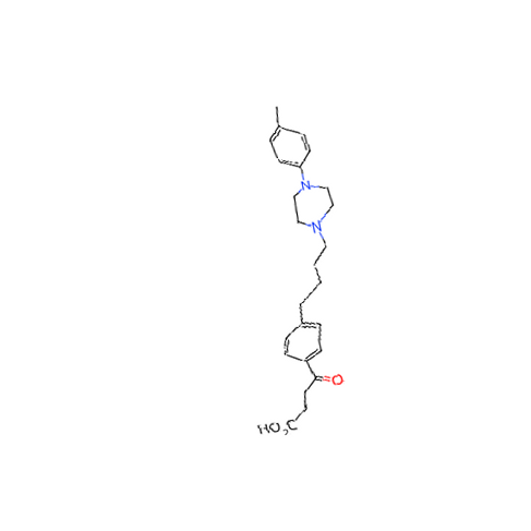 Cc1ccc(N2CCN(CCCCc3ccc(C(=O)CCC(=O)O)cc3)CC2)cc1